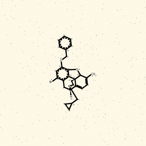 CC1=CC=C2[C@@H]3Cc4c(Br)cc(OCc5ccccc5)c5c4[C@]2(CCN3CC2CC2)C1O5